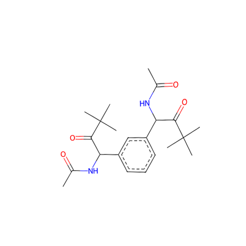 CC(=O)NC(C(=O)C(C)(C)C)c1cccc(C(NC(C)=O)C(=O)C(C)(C)C)c1